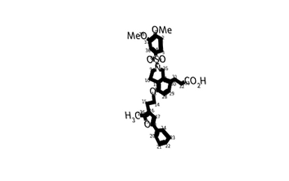 COc1ccc(S(=O)(=O)N2CCc3c(OCCc4cc(-c5ccccc5)oc4C)ccc(CCC(=O)O)c3C2)cc1OC